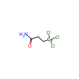 NC(=O)C[CH2][Ge]([Cl])([Cl])[Cl]